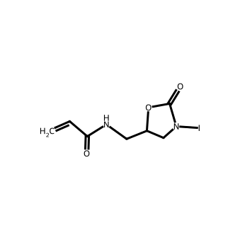 C=CC(=O)NCC1CN(I)C(=O)O1